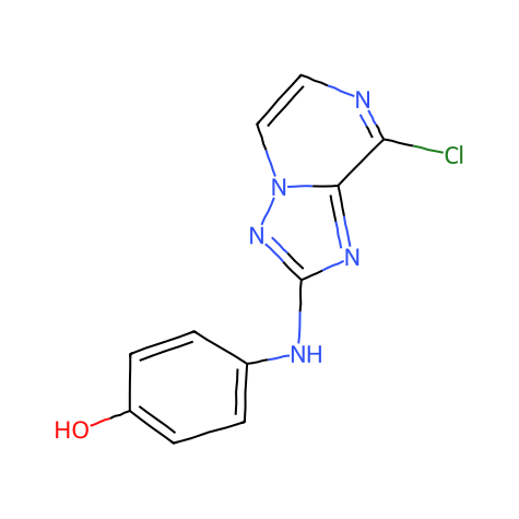 Oc1ccc(Nc2nc3c(Cl)nccn3n2)cc1